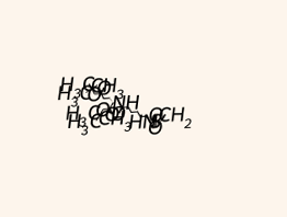 C=CS(=O)(=O)NCCCCCC(=O)N[C@@H](CCC(=O)OC(C)(C)C)C(=O)OC(C)(C)C